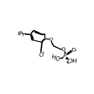 CC(C)c1ccc(OCOP(=O)(O)O)c(Cl)c1